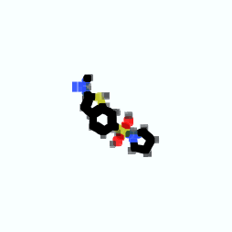 CNc1cc2ccc(S(=O)(=O)N3CCCC3)cc2s1